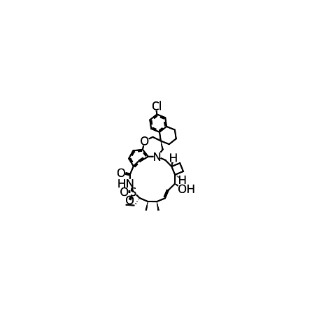 CC[C@H]1[C@H](C)[C@H](C)/C=C/[C@H](O)[C@@H]2CC[C@H]2CN2C[C@@]3(CCCc4cc(Cl)ccc43)COc3ccc(cc32)C(=O)NS1(=O)=O